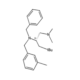 Cc1cccc(CN(Cc2ccccc2)[C@H](CN(C)C)CC(C)(C)C)c1